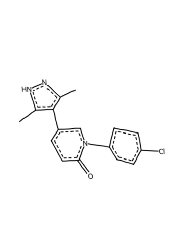 Cc1n[nH]c(C)c1-c1ccc(=O)n(-c2ccc(Cl)cc2)c1